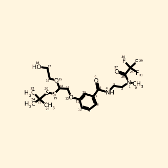 CN(CCNC(=O)c1cccc(OCC(OCCO)SSC(C)(C)C)c1)C(=O)C(F)(F)F